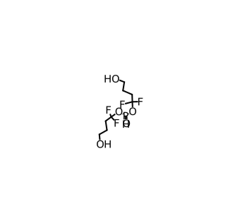 O=[PH](OC(F)(F)CCCO)OC(F)(F)CCCO